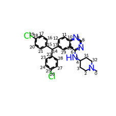 CN1CCC(Nc2ncnc3ccc(C(c4ccc(Cl)cc4)c4ccc(Cl)cc4)cc23)CC1